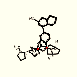 CN1CCC[C@H]1COc1nc(N2[C@@H]3CC[C@H]2CN(C(=O)c2ncn[nH]2)C3)c2ccc(-c3cc(O)cc4ccccc34)cc2n1